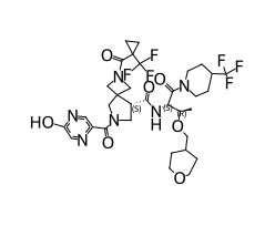 C[C@@H](OCC1CCOCC1)[C@H](NC(=O)[C@@H]1CN(C(=O)c2cnc(O)cn2)CC12CN(C(=O)C1(C(F)(F)F)CC1)C2)C(=O)N1CCC(C(F)(F)F)CC1